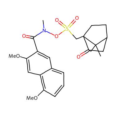 COc1cc2c(OC)cccc2cc1C(=O)N(C)OS(=O)(=O)CC12CCC(CC1=O)C2(C)C